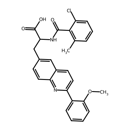 COc1ccccc1-c1ccc2cc(CC(NC(=O)c3c(C)cccc3Cl)C(=O)O)ccc2n1